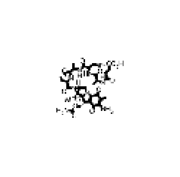 CO[C@]12[C@@H](COC(N)=O)C3=C(C(=O)C(C)=C(N)C3=O)N1C[C@@H]1[C@H]2N1C(=O)C(CC(C)C)NC(=O)C(C)NC(=O)C(CC(C)C)NC(=O)C(C)NC(=O)CCC(=O)O